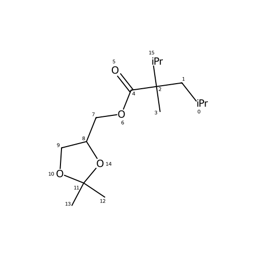 CC(C)CC(C)(C(=O)OCC1COC(C)(C)O1)C(C)C